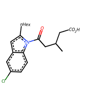 CCCCCCc1cc2cc(Cl)ccc2n1C(=O)CC(C)CC(=O)O